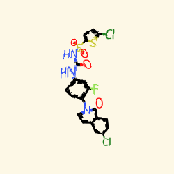 O=C(Nc1ccc(-n2ccc3cc(Cl)ccc3c2=O)c(F)c1)NS(=O)(=O)c1ccc(Cl)s1